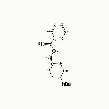 CCCCC1CC[C](OOC(=O)c2ccccc2)CC1